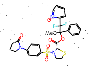 COC(OC(=O)[C@@H]1SCCN1S(=O)(=O)c1ccc(N2CCCC2=O)cc1)(c1ccccc1)C(F)(F)c1cccc[n+]1[O-]